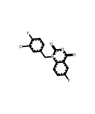 O=c1oc(=O)n(Cc2ccc(F)c(Cl)c2)c2ccc(F)cc12